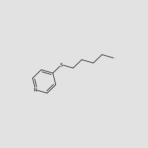 [CH2]CCCCSc1ccncc1